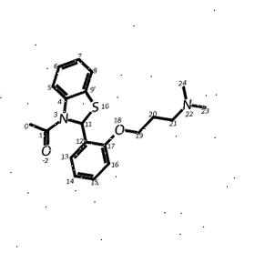 CC(=O)N1c2ccccc2SC1c1ccccc1OCCCN(C)C